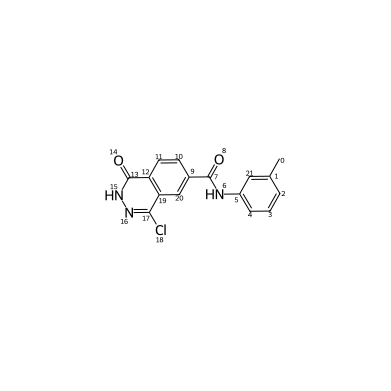 Cc1cccc(NC(=O)c2ccc3c(=O)[nH]nc(Cl)c3c2)c1